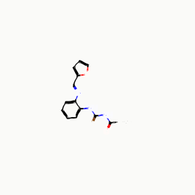 COC(=O)NC(=S)Nc1ccccc1/N=C/c1ccco1